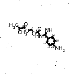 CC(C)C(=O)OCOC(=O)NC(=N)c1ccc(N)cc1